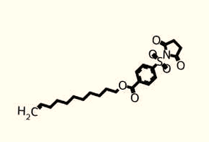 C=CCCCCCCCCCOC(=O)c1ccc(S(=O)(=O)N2C(=O)CCC2=O)cc1